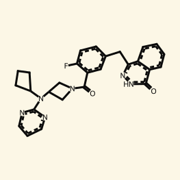 O=C(c1cc(Cc2n[nH]c(=O)c3ccccc23)ccc1F)N1CC(N(c2ncccn2)C2CCC2)C1